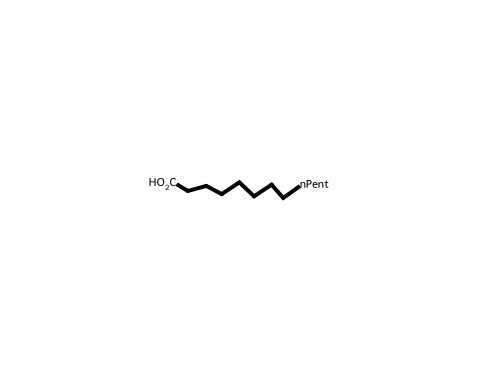 [C]CCCCCCCCCCCC(=O)O